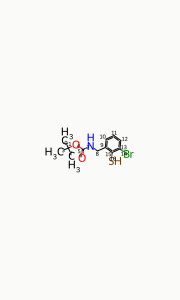 CC(C)(C)OC(=O)NCc1cccc(Br)c1S